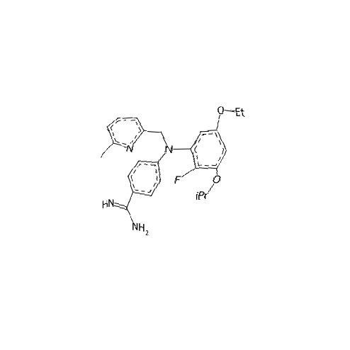 CCOc1cc(OC(C)C)c(F)c(N(Cc2cccc(C)n2)c2ccc(C(=N)N)cc2)c1